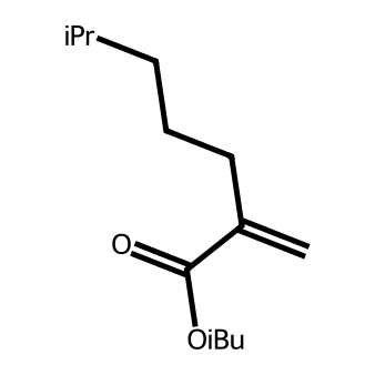 C=C(CCCC(C)C)C(=O)OCC(C)C